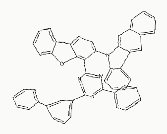 c1ccc(-c2cccc(-c3nc(-c4ccccc4)nc(-c4c(-n5c6ccccc6c6cc7ccccc7cc65)ccc5c4oc4ccccc45)n3)c2)cc1